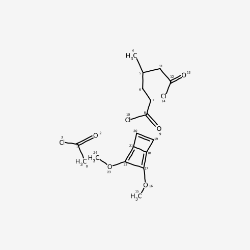 CC(=O)Cl.CC(CCC(=O)Cl)CC(=O)Cl.COc1c2ccc-2c1OC